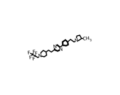 CC1CCN(CCc2ccc(-c3cnc(CCC4CCN(CC(F)(F)C(F)(F)F)CC4)cn3)cc2)C1